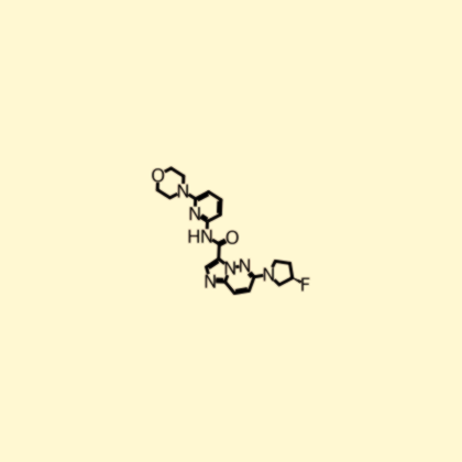 O=C(Nc1cccc(N2CCOCC2)n1)c1cnc2ccc(N3CC[C@@H](F)C3)nn12